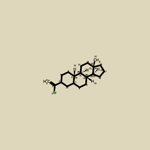 C=C(Br)C1CC[C@H]2C(CC[C@@H]3[C@@H]2CC[C@]2(C)CCC[C@@H]32)C1